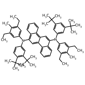 CCc1cc(N(c2cc(C(C)(C)C)cc(C(C)(C)C)c2)c2cc3c4ccccc4c(N(c4cc(CC)c(C)c(CC)c4)c4ccc(C(C)(C)C)c(C(C)(C)C)c4)cc3c3ccccc23)cc(CC)c1C